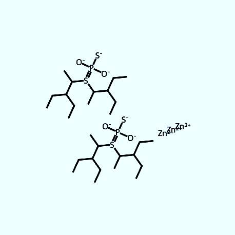 CCC(CC)C(C)S(C(C)C(CC)CC)=P([O-])([O-])[S-].CCC(CC)C(C)S(C(C)C(CC)CC)=P([O-])([O-])[S-].[Zn+2].[Zn+2].[Zn+2]